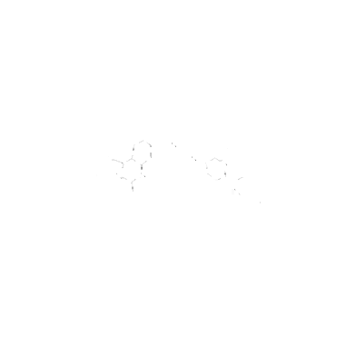 CCn1c(=O)[nH]c2cc(CN3CCN(c4ccc(C(=O)NC)nc4C)CC3)ccc2c1=S